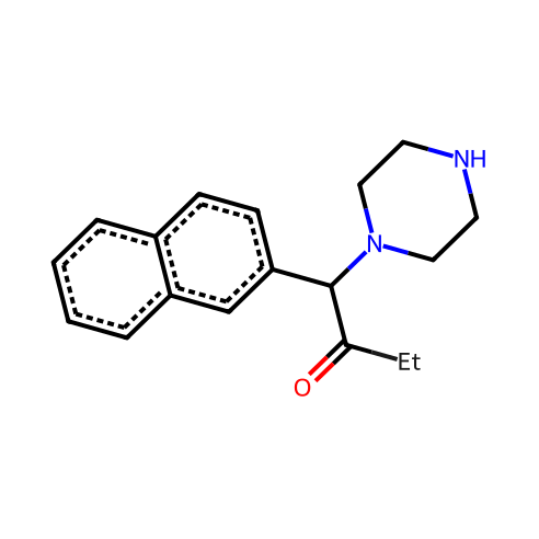 CCC(=O)C(c1ccc2ccccc2c1)N1CCNCC1